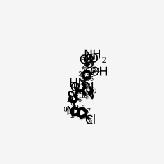 CN1Cc2cc(Cl)ccc2[C@@H]1c1csc(C(=O)c2cncnc2N[C@@H]2C[C@H](COS(N)(=O)=O)[C@@H](O)C2)c1